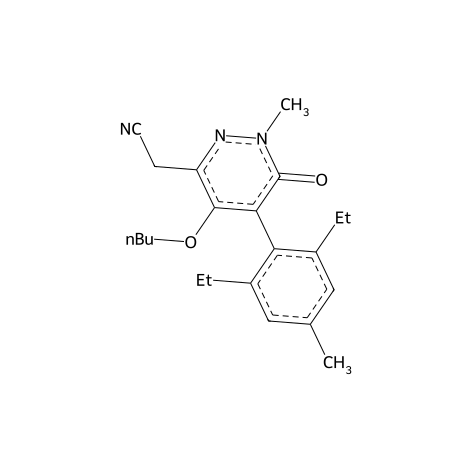 CCCCOc1c(CC#N)nn(C)c(=O)c1-c1c(CC)cc(C)cc1CC